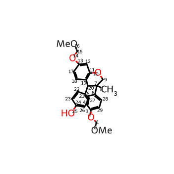 COCOc1ccc(C2(C)COc3cc(OCOC)ccc3C2c2ccc(O)cc2)cc1